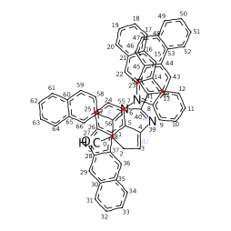 CC1C/C=C(c2c(-n3c4ccccc4c4cc5ccccc5cc43)ccc3oc4cc5ccccc5cc4c23)/N=C(c2ccc3c(ccc4ccccc43)c2)\N=C/1c1ccc2ccccc2c1